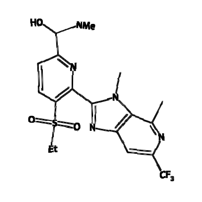 CCS(=O)(=O)c1ccc(C(O)NC)nc1-c1nc2cc(C(F)(F)F)nc(C)c2n1C